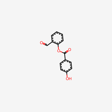 O=Cc1ccccc1OC(=O)c1ccc(O)cc1